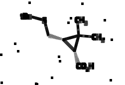 CC(C)(C)SC[C@H]1[C@@H](C(=O)O)C1(C)C